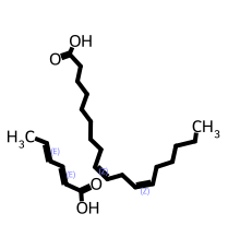 C/C=C/C=C/C(=O)O.CCCCC/C=C\C/C=C\CCCCCCCC(=O)O